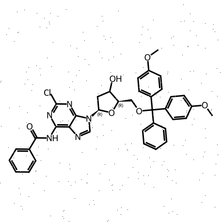 COc1ccc(C(OC[C@H]2O[C@@H](n3cnc4c(NC(=O)c5ccccc5)nc(Cl)nc43)CC2O)(c2ccccc2)c2ccc(OC)cc2)cc1